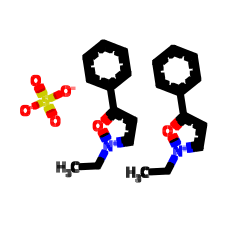 CC[n+]1ccc(-c2ccccc2)o1.CC[n+]1ccc(-c2ccccc2)o1.O=S(=O)([O-])[O-]